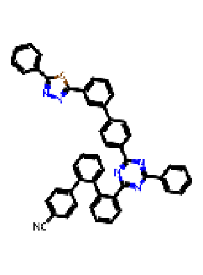 N#Cc1ccc(-c2ccccc2-c2ccccc2-c2nc(-c3ccccc3)nc(-c3ccc(-c4cccc(-c5nnc(-c6ccccc6)s5)c4)cc3)n2)cc1